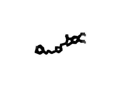 Cc1cc2c(cc1C)C(=O)N(CC1CCN(CCCc3ccncc3)C1)C2